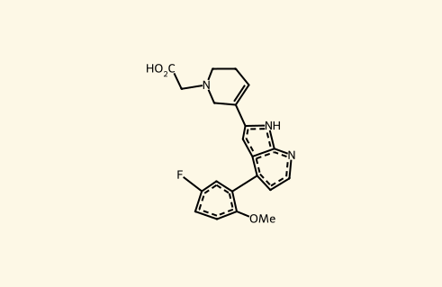 COc1ccc(F)cc1-c1ccnc2[nH]c(C3=CCCN(CC(=O)O)C3)cc12